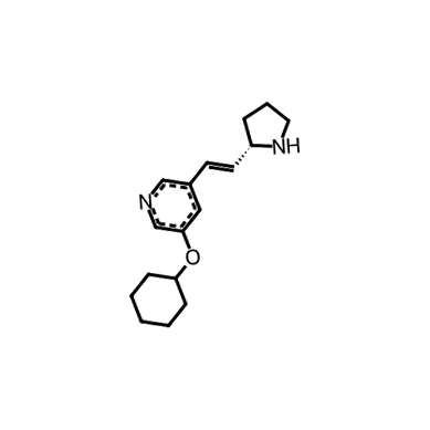 C(=C[C@@H]1CCCN1)c1cncc(OC2CCCCC2)c1